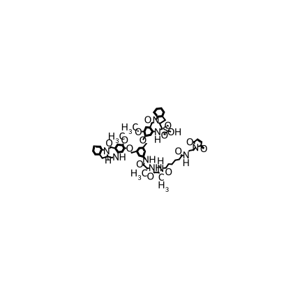 COc1cc2c(cc1OCc1cc(COc3cc4c(cc3OC)C(=O)N3c5ccccc5C[C@H]3CN4)cc(NC(=O)[C@H](C)NC(=O)[C@H](C)NC(=O)CCCCC(=O)NCCN3C(=O)C=CC3=O)c1)NC(S(=O)(=O)O)C1Cc3ccccc3N1C2=O